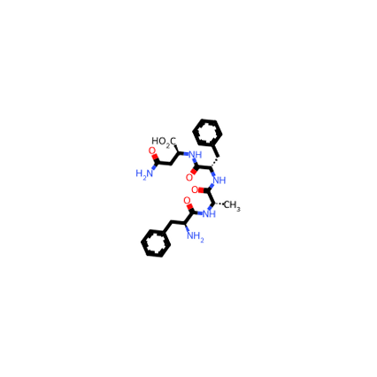 C[C@H](NC(=O)[C@@H](N)Cc1ccccc1)C(=O)N[C@@H](Cc1ccccc1)C(=O)N[C@@H](CC(N)=O)C(=O)O